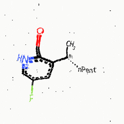 CCCCC[C@@H](C)c1cc(F)c[nH]c1=O